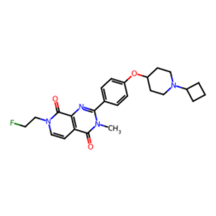 Cn1c(-c2ccc(OC3CCN(C4CCC4)CC3)cc2)nc2c(=O)n(CCF)ccc2c1=O